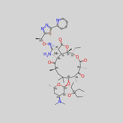 CC[C@@H]1OC(=O)[C@H](C)C(=O)[C@H](C)[C@@H](O[C@@H]2O[C@@H](C)C[C@H](N(C)C)[C@H]2O[Si](CC)(CC)CC)C(C)(C)C[C@@H](C)C(=O)[C@H](C)[C@H]2[C@H](/C(N)=N/O[C@@H](C)c3nnc(-c4ccccn4)s3)C(=O)O[C@@]21C